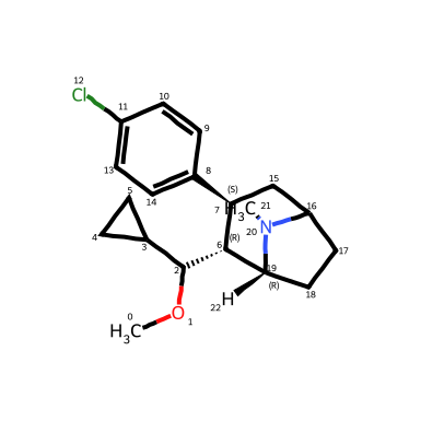 COC(C1CC1)[C@@H]1[C@@H](c2ccc(Cl)cc2)CC2CC[C@H]1N2C